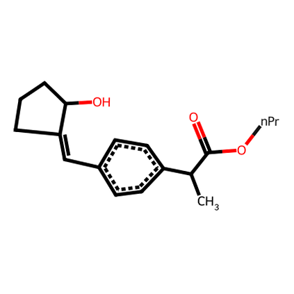 CCCOC(=O)C(C)c1ccc(/C=C2/CCCC2O)cc1